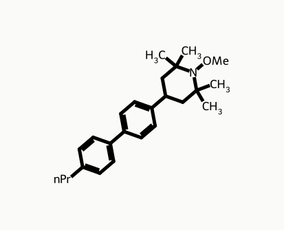 CCCc1ccc(-c2ccc(C3CC(C)(C)N(OC)C(C)(C)C3)cc2)cc1